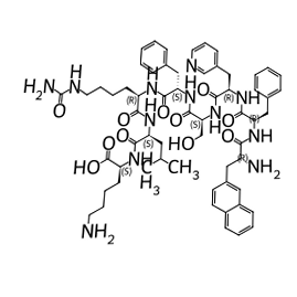 CC(C)C[C@H](NC(=O)[C@@H](CCCCNC(N)=O)NC(=O)[C@H](Cc1ccccc1)NC(=O)[C@H](CO)NC(=O)[C@@H](Cc1cccnc1)NC(=O)[C@@H](Cc1ccccc1)NC(=O)[C@H](N)Cc1ccc2ccccc2c1)C(=O)N[C@@H](CCCCN)C(=O)O